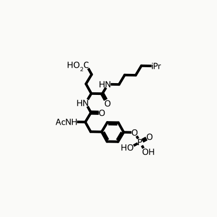 CC(=O)NC(Cc1ccc(OP(=O)(O)O)cc1)C(=O)NC(CCC(=O)O)C(=O)NCCCCC(C)C